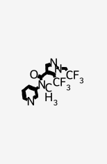 CN(C(=O)c1cnn(CC(F)(F)F)c1C(F)(F)F)c1cccnc1